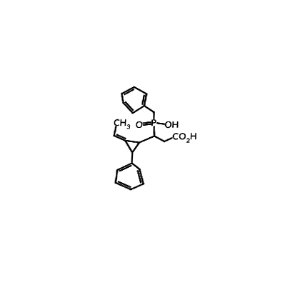 CC=C1C(c2ccccc2)C1C(CC(=O)O)P(=O)(O)Cc1ccccc1